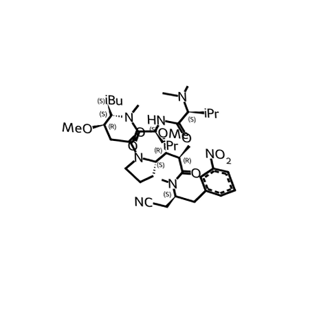 CC[C@H](C)[C@@H]([C@@H](CC(=O)N1CCC[C@H]1[C@H](OC)[C@@H](C)C(=O)N(C)[C@H](CC#N)Cc1cccc([N+](=O)[O-])c1)OC)N(C)C(=O)[C@@H](NC(=O)[C@H](C(C)C)N(C)C)C(C)C